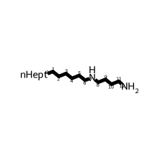 CCCCCCCCCCCCCNCCCCN